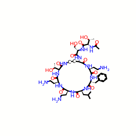 CC(=O)N[C@H](C(=O)N[C@@H](CO)C(=O)N[C@H]1CCNC(=O)[C@H]([C@@H](C)O)NC(=O)[C@H](CCN)NC(=O)[C@H](CCN)NC(=O)[C@H](CC(C)C)NC(=O)[C@@H](Cc2ccccc2)NC(=O)[C@H](CCN)NC1=O)[C@@H](C)O